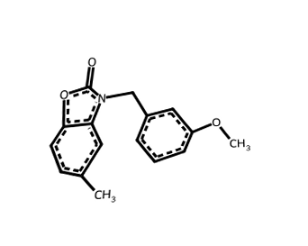 COc1cccc(Cn2c(=O)oc3ccc(C)cc32)c1